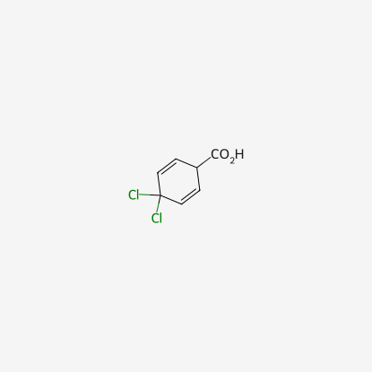 O=C(O)C1C=CC(Cl)(Cl)C=C1